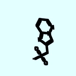 [CH2]S(=O)(=O)Cc1cn2ncccc2n1